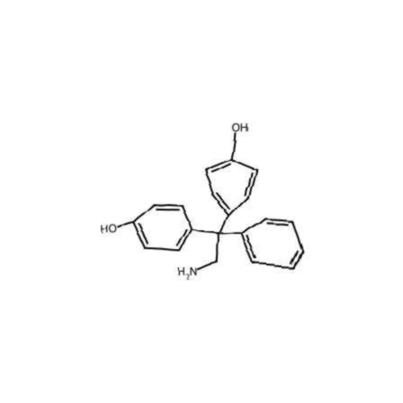 NCC(c1ccccc1)(c1ccc(O)cc1)c1ccc(O)cc1